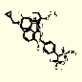 COc1ccc2c3c1O[C@H]1[C@@]4(OC)CC[C@@]5(C[C@@H]4COCc4ccc(N(S(C)(=O)=O)S(C)(=O)=O)cc4)[C@@H](C2)N(CC2CC2)CC[C@]315